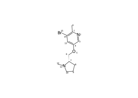 Cc1ncc(OC[C@@H]2CCCN2C)cc1Br